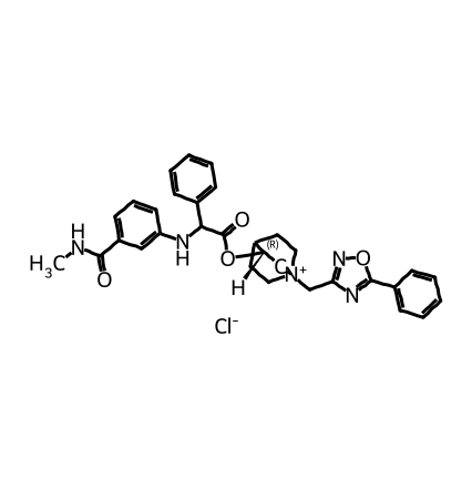 CNC(=O)c1cccc(NC(C(=O)O[C@H]2C[N+]3(Cc4noc(-c5ccccc5)n4)CCC2CC3)c2ccccc2)c1.[Cl-]